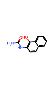 NC(=O)Nc1ccc2ccccc2c1O